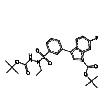 CCN(NC(=O)OC(C)(C)C)S(=O)(=O)c1cccc(-c2cn(C(=O)OC(C)(C)C)c3cc(F)ccc23)c1